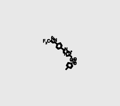 Cc1ccc(S(=O)(=O)OCc2cn3cc(-c4ccc(-c5cc(C(F)(F)F)n(C)n5)cc4)nc3n2C)cc1